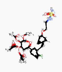 CO[C@H]1O[C@@H](c2ccc(Cl)c(Cc3ccc(OCCNS(N)(=O)=O)cc3)c2)[C@H](OC(C)=O)C(OC(C)=O)C1OC(C)=O